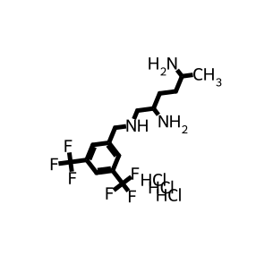 CC(N)CCC(N)CNCc1cc(C(F)(F)F)cc(C(F)(F)F)c1.Cl.Cl.Cl